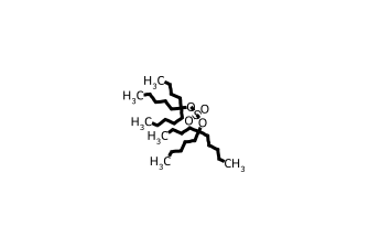 CCCCCC(CCCC)(CCCCC)OS(=O)(=O)OC(CCCC)(CCCCC)CCCCC